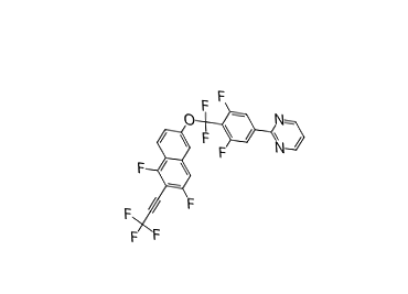 Fc1cc2cc(OC(F)(F)c3c(F)cc(-c4ncccn4)cc3F)ccc2c(F)c1C#CC(F)(F)F